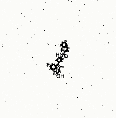 Cc1c(C2CC3CC2CC3NC(=O)c2ccc3ccccc3n2)c2cc(F)ccc2n1CC(=O)O